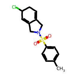 Cc1ccc(S(=O)(=O)N2CC3=CCC(Cl)C=C3C2)cc1